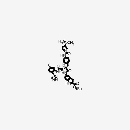 CN(C)[C@@H]1CCN(C(=O)Nc2ccc(C[C@H](NC(=O)C(=O)Nc3cc(Cl)ccc3-n3cnnn3)C(=O)Nc3ccc4[nH]c(C(=O)OC(C)(C)C)cc4c3)cc2)C1